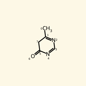 CC1=NC=NC(=O)C1